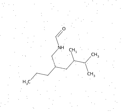 CCCC(CNC=O)CC(C)C(C)C